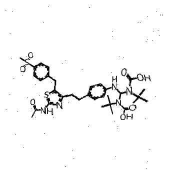 CC(=O)Nc1nc(CCc2ccc(NC(N(C(=O)O)C(C)(C)C)N(C(=O)O)C(C)(C)C)cc2)c(Cc2ccc(S(C)(=O)=O)cc2)s1